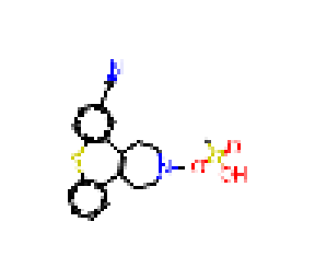 CN1CCC2=C(CC1)c1cc(C#N)ccc1Sc1ccccc12.CS(=O)(=O)O